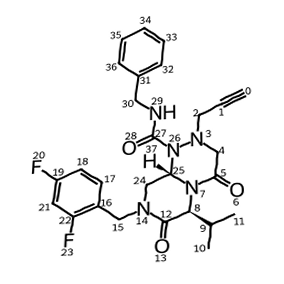 C#CCN1CC(=O)N2[C@@H](C(C)C)C(=O)N(Cc3ccc(F)cc3F)C[C@@H]2N1C(=O)NCc1ccccc1